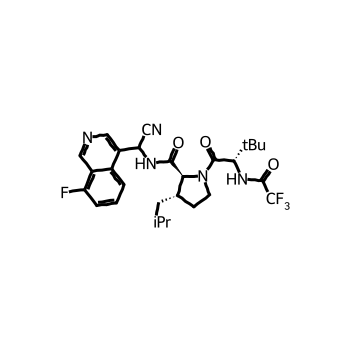 CC(C)C[C@H]1CCN(C(=O)[C@@H](NC(=O)C(F)(F)F)C(C)(C)C)[C@@H]1C(=O)NC(C#N)c1cncc2c(F)cccc12